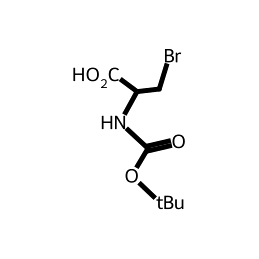 CC(C)(C)OC(=O)NC(CBr)C(=O)O